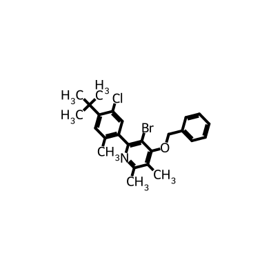 Cc1cc(C(C)(C)C)c(Cl)cc1-c1nc(C)c(C)c(OCc2ccccc2)c1Br